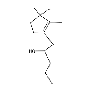 CCCC(O)CC1=C(C)C(C)(C)CC1